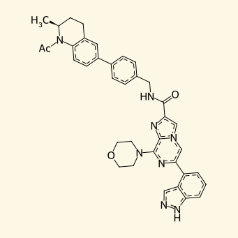 CC(=O)N1c2ccc(-c3ccc(CNC(=O)c4cn5cc(-c6cccc7[nH]ncc67)nc(N6CCOCC6)c5n4)cc3)cc2CC[C@@H]1C